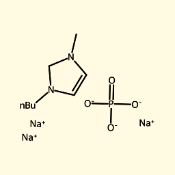 CCCCN1C=CN(C)C1.O=P([O-])([O-])[O-].[Na+].[Na+].[Na+]